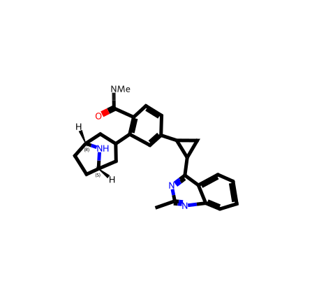 CNC(=O)c1ccc(C2CC2c2nc(C)nc3ccccc23)cc1C1C[C@H]2CC[C@@H](C1)N2